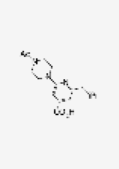 CC(=O)N1CCN(c2cc(C(=O)O)cc(CC(C)C)n2)CC1